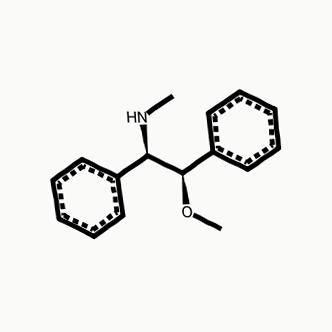 CN[C@H](c1ccccc1)[C@H](OC)c1ccccc1